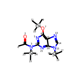 CC(=O)N(c1nc(O[Si](C)(C)C)c2ncn([Si](C)(C)C)c2n1)[Si](C)(C)C